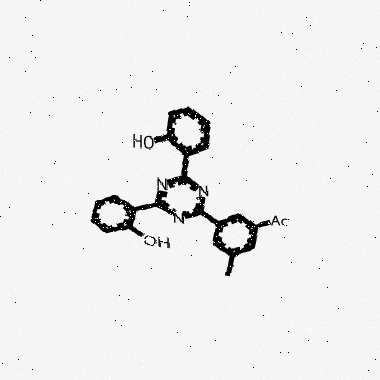 CC(=O)c1cc(C)cc(-c2nc(-c3ccccc3O)nc(-c3ccccc3O)n2)c1